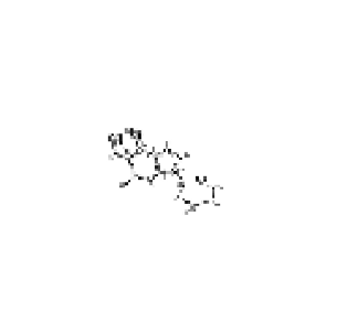 Cc1cc2c(cnn2C2CCCCO2)c(Br)c1CC#N